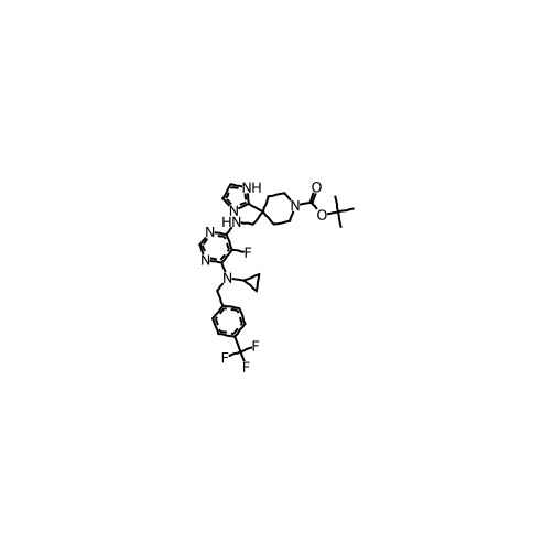 CC(C)(C)OC(=O)N1CCC(CNc2ncnc(N(Cc3ccc(C(F)(F)F)cc3)C3CC3)c2F)(c2ncc[nH]2)CC1